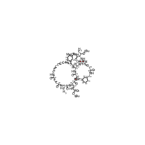 CONC(=O)[C@@H](NC(=O)[C@@H]1[C@@H]2CCN1C(=O)[C@@H]1Cc3cn(c4ccc(F)cc34)CCCCCCNC(=O)CCC(=O)N[C@@H](C)C(=O)N[C@H](CNC(=O)OC(C)(C)C)C(=O)N[C@@H](Cc3cccc(c3)CNC(=O)CO2)C(=O)N1)[C@@H](C)OC(C)(C)C